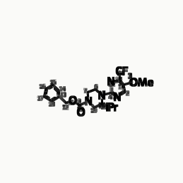 COc1cnc(N2CCN(C(=O)OCc3ccccc3)C[C@H]2C(C)C)nc1C(F)(F)F